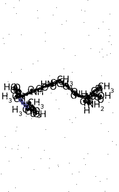 CCN1\C(=C/C=C/C=C/C2=[N+](CCCCCC(=O)NCCOCCOCCNC(=O)OCCC(C)(C)SSCOCCCCOC(=O)NCC#Cc3cn(C4CC(OCSSC)[C@@H](CO[PH](=O)O)O4)c4nc(N)[nH]c(=O)c34)c3ccc(S(=O)(=O)O)cc3C2(C)C)C(C)(C)c2cc(S(=O)(=O)O)ccc21